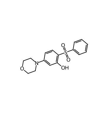 O=S(=O)(c1ccccc1)c1ccc(N2CCOCC2)cc1O